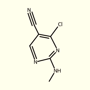 CNc1ncc(C#N)c(Cl)n1